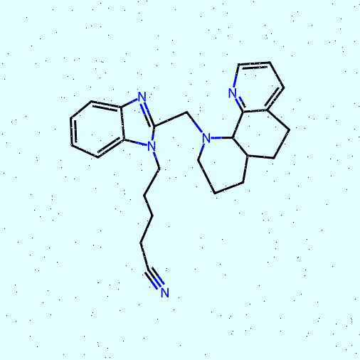 N#CCCCCn1c(CN2CCCC3CCc4cccnc4C32)nc2ccccc21